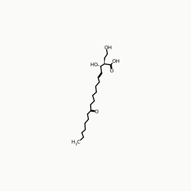 CCCCCCCC(=O)CCCCCC/C=C/[C@H](O)[C@@H](CCO)C(=O)O